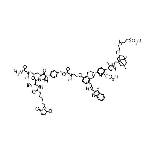 Cc1c(-c2ccc(N3CCc4c(OCCNC(=O)OCc5ccc(NC(=O)[C@H](CCCNC(N)=O)NC(=O)[C@@H](NC(=O)CCCCCN6C(=O)C=CC6=O)C(C)C)cc5)ccc(CNc5nc6ccccc6s5)c4C3)nc2C(=O)O)cnn1CC12CC3(C)CC(C)(C1)CC(OCCN(C)CCS(=O)(=O)O)(C3)C2